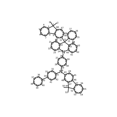 CC1(C)c2ccccc2-c2cc(C3(c4ccccc4)c4ccccc4N(c4ccc(N(c5ccc(-c6ccccc6)cc5)c5ccc6c(c5)C(C)(C)c5ccccc5-6)cc4)c4ccccc43)ccc21